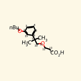 CCCCOc1cccc(C(C)(C)COCCC(=O)O)c1